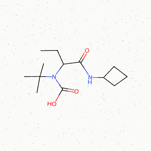 CCC(C(=O)NC1CCC1)N(C(=O)O)C(C)(C)C